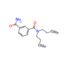 COCCN(CCOC)C(=O)c1cccc(C(N)=O)c1